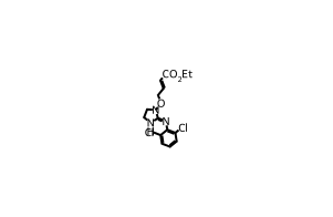 CCOC(=O)C=CCON1CCNC1=Nc1c(Cl)cccc1Cl